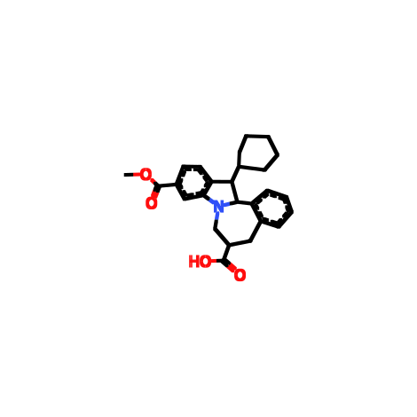 COC(=O)c1ccc2c(c1)N1CC(C(=O)O)Cc3ccccc3C1C2C1CCCCC1